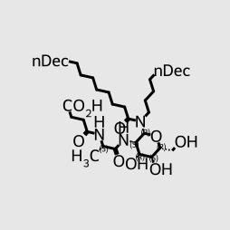 CCCCCCCCCCCCCCCCCC(=O)N(CCCCCCCCCCCCCC)[C@@H]1O[C@H](CO)[C@@H](O)[C@H](O)[C@@H]1NC(=O)[C@H](C)NC(=O)CCC(=O)O